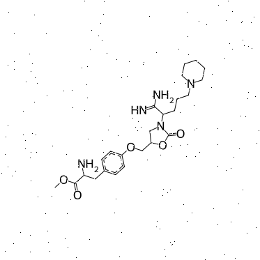 COC(=O)C(N)Cc1ccc(OCC2CN(C(CCCN3CCCCC3)C(=N)N)C(=O)O2)cc1